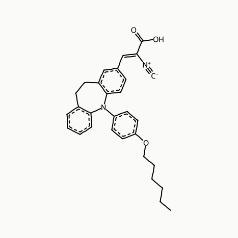 [C-]#[N+]/C(=C\c1ccc2c(c1)CCc1ccccc1N2c1ccc(OCCCCCC)cc1)C(=O)O